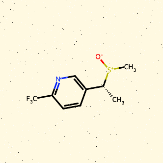 C[C@H](c1ccc(C(F)(F)F)nc1)[S+](C)[O-]